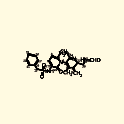 C=C1C(C)=C(n2c(C)ccc(NS(=O)(=O)Cc3ccccc3)c2=O)C(N)=NC1CNC=O